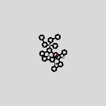 c1ccc(-c2cccc([Si](c3ccccc3)(c3cccc(-c4ccccc4)c3)c3cc(-c4ccccc4)c(-n4c5ccccc5c5cc(-n6c7ccccc7c7cccc(-c8cccc9c8oc8ccccc89)c76)ccc54)c(-c4ccccc4)c3)c2)cc1